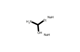 CCC(N)O.[NaH].[NaH]